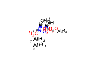 N#[SiH].N#[SiH].O.O.O.[AlH3].[AlH3].[AlH3]